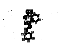 O=C(O)[C@H]1CCCCN1NOCc1ccccc1